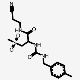 Cc1ccc(CNC(=O)NC(CS(C)(=O)=O)C(=O)NCCC#N)cc1